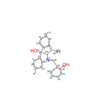 Cc1ccc(C(O)(c2ccc(C)cc2)C(CC(C)C)N=Cc2ccccc2O)cc1